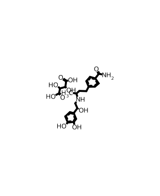 CC(CCc1ccc(C(N)=O)cc1)NC[C@@H](O)c1ccc(O)c(O)c1.O=C(O)C(O)C(O)C(=O)O